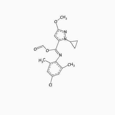 COc1cc(/C(=N/c2c(C)cc(Cl)cc2C)OC=O)n(C2CC2)n1